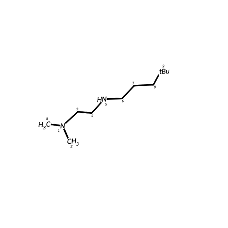 CN(C)CCNCCCC(C)(C)C